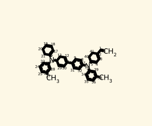 C=CC1=CC=C(N(c2ccc(C3=CCC(N(C4=CC=CCC4)c4cccc(C)c4)C=C3)cc2)c2cccc(C)c2)CC1